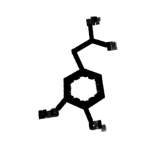 CCCC(CC)Cc1ccc(C)c(OC)c1